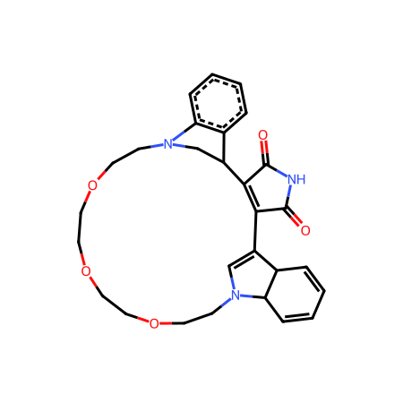 O=C1NC(=O)C2=C1C1=CN(CCOCCOCCOCCN3CC2c2ccccc23)C2C=CC=CC12